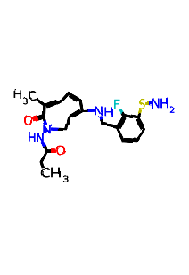 CCC(=O)NN1C/C=C(NCc2cccc(SN)c2F)/C=C\C=C(/C)C1=O